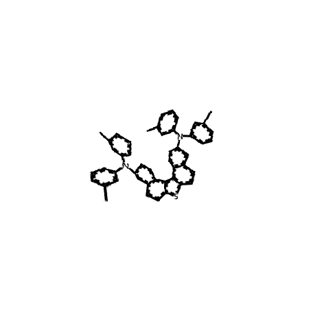 Cc1cccc(N(c2cccc(C)c2)c2ccc3c(ccc4sc5ccc6cc(N(c7cccc(C)c7)c7cccc(C)c7)ccc6c5c43)c2)c1